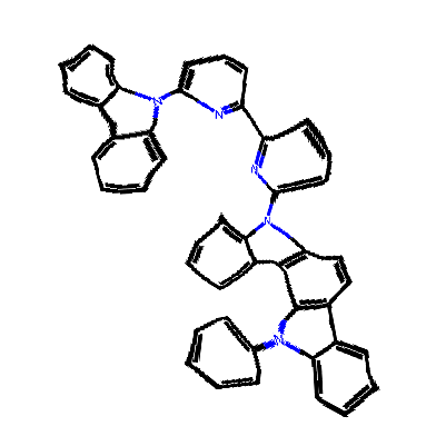 c1ccc(-n2c3ccccc3c3ccc4c(c5ccccc5n4-c4cccc(-c5cccc(-n6c7ccccc7c7ccccc76)n5)n4)c32)cc1